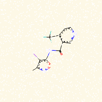 Cc1noc(NC(=O)c2cnccc2C(F)(F)F)c1I